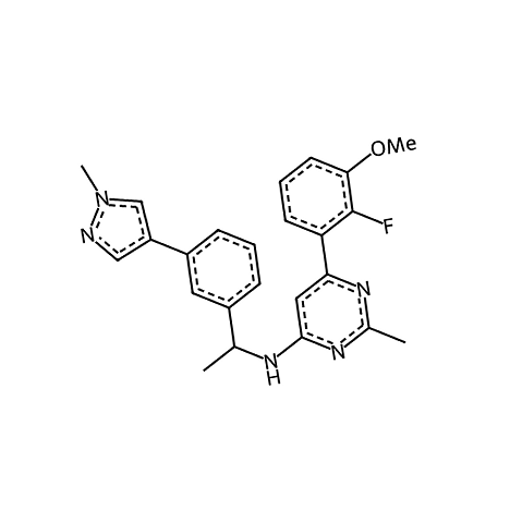 COc1cccc(-c2cc(NC(C)c3cccc(-c4cnn(C)c4)c3)nc(C)n2)c1F